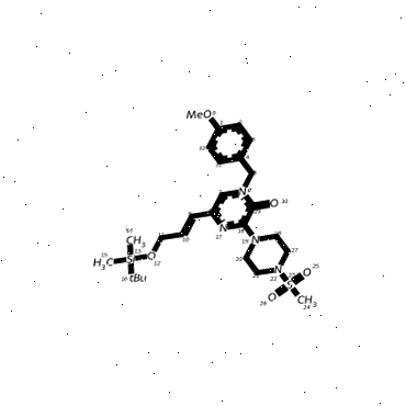 COc1ccc(Cn2cc(/C=C/CO[Si](C)(C)C(C)(C)C)nc(N3CCN(S(C)(=O)=O)CC3)c2=O)cc1